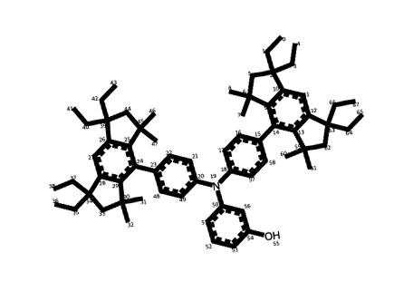 CCC1(CC)CC(C)(C)c2c1cc1c(c2-c2ccc(N(c3ccc(-c4c5c(cc6c4C(C)(C)CC6(CC)CC)C(CC)(CC)CC5(C)C)cc3)c3cccc(O)c3)cc2)C(C)(C)CC1(CC)CC